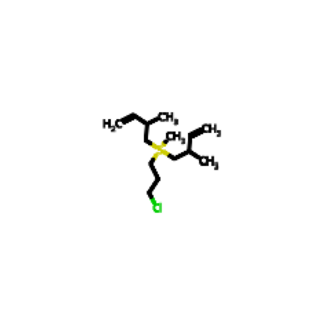 C=CC(C)CS(C)(CCCCl)CC(C)C=C